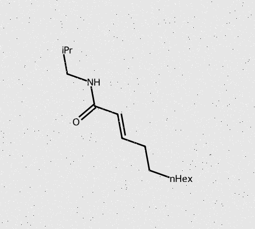 CCCCCCCC/C=C/C(=O)NCC(C)C